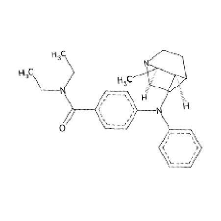 CCN(CC)C(=O)c1ccc(N(c2ccccc2)[C@@H]2C3CCN(CC3)[C@@H]2C)cc1